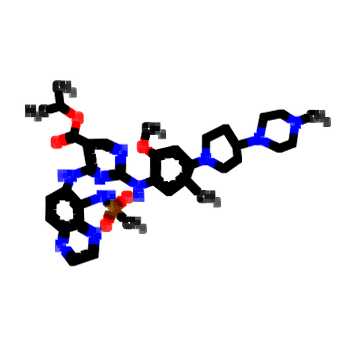 COc1cc(N2CCC(N3CCN(C)CC3)CC2)c(C)cc1Nc1ncc(C(=O)OC(C)C)c(Nc2ccc3nccnc3c2NS(C)(=O)=O)n1